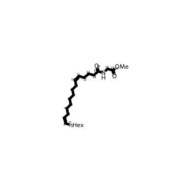 CCCCCC/C=C\CCCCCCC/C=C\CCCC(=O)NCC(=O)OC